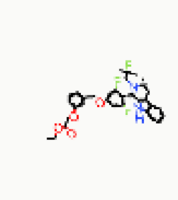 CCOC(=O)COc1cccc(COc2cc(F)c([C@@H]3c4[nH]c5ccccc5c4C[C@@H](C)N3CC(C)(C)F)c(F)c2)c1